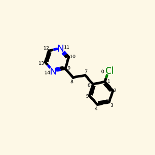 Clc1ccccc1CCc1cnccn1